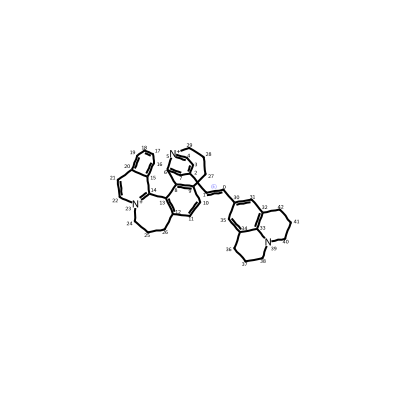 C(=C\c1cc[n+]2c(c1)-c1c(ccc3c1-c1c4ccccc4cc[n+]1CCC3)CCC2)/c1cc2c3c(c1)CCCN3CCC2